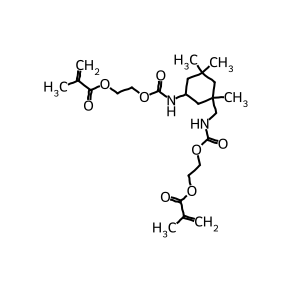 C=C(C)C(=O)OCCOC(=O)NCC1(C)CC(NC(=O)OCCOC(=O)C(=C)C)CC(C)(C)C1